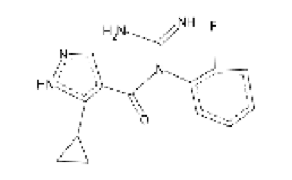 N=C(N)N(C(=O)c1cn[nH]c1C1CC1)c1ccccc1F